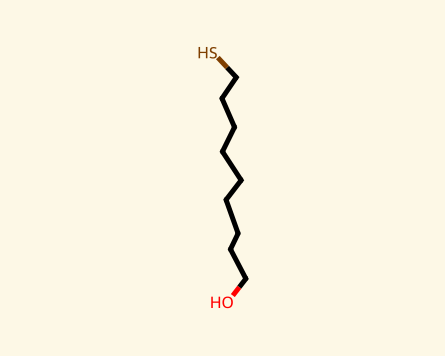 OCCCCCCCCCS